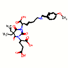 CCC1(CC)C(=O)N(C(CCCCNCc2ccc(OC)cc2)C(=O)O)C(=O)N(C(CCC(=O)O)C(=O)O)C1=O